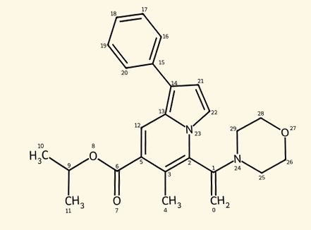 C=C(c1c(C)c(C(=O)OC(C)C)cc2c(-c3ccccc3)ccn12)N1CCOCC1